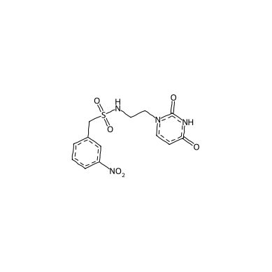 O=c1ccn(CCNS(=O)(=O)Cc2cccc([N+](=O)[O-])c2)c(=O)[nH]1